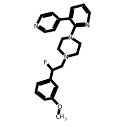 COc1cccc(C(F)CN2CCN(c3ncccc3-c3ccncc3)CC2)c1